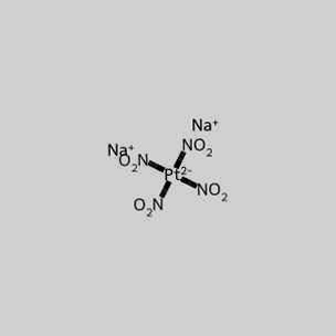 O=[N+]([O-])[Pt-2]([N+](=O)[O-])([N+](=O)[O-])[N+](=O)[O-].[Na+].[Na+]